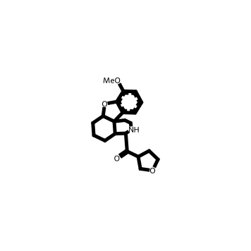 COc1cccc2c1OC1CCCC3C(C(=O)C4CCOC4)NCCC213